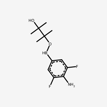 CC(C)(O)C(C)(C)OBc1cc(F)c(N)c(F)c1